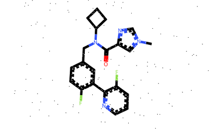 Cn1cnc(C(=O)N(Cc2ccc(F)c(-c3ncccc3F)c2)C2CCC2)c1